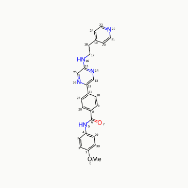 COc1ccc(NC(=O)c2ccc(-c3cnc(NCCc4ccncc4)cn3)cc2)cc1